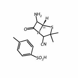 CC1(C)S[C@H]2C(N)C(=O)N2C1C#N.Cc1ccc(S(=O)(=O)O)cc1